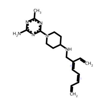 C=C/C=C\C=C(/C=C)CNC1CCN(c2nc(C)nc(N)n2)CC1